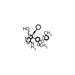 COc1cc(-c2c(C#CC3CCCCC3)n(CCO)c3ncnc(N)c23)ccc1Oc1cccc(C)n1